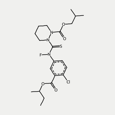 CCC(C)OC(=O)c1cc(N(F)C(=S)N2CCCCN2C(=O)OCC(C)C)ccc1Cl